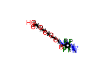 [N-]=[N+]=Nc1c(F)c(F)c(C(=O)NCCOCCOCCOCCOCCC(=O)O)c(F)c1F